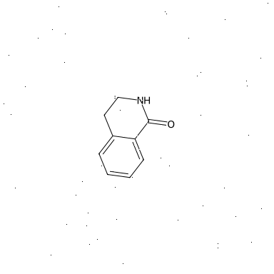 O=C1N[C]Cc2ccccc21